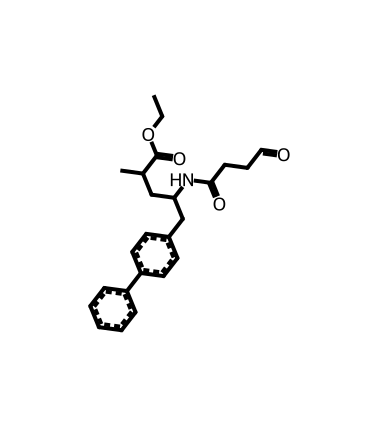 CCOC(=O)C(C)CC(Cc1ccc(-c2ccccc2)cc1)NC(=O)CCC=O